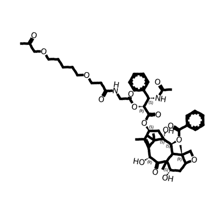 CC(=O)COCCCCCOCCC(=O)NCC(=O)O[C@@H](C(=O)O[C@H]1C[C@@]2(O)[C@@H](OC(=O)c3ccccc3)C3C(C)(C(=O)[C@H](O)C(=C1C)C2(C)C)[C@@H](O)CC1OC[C@]13C)[C@@H](NC(C)=O)c1ccccc1